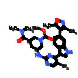 Cc1noc(C)c1-c1ccc2c(-c3nc(N[C@H]4C[C@@H](C(=O)N(C)C)CN(C(=O)OC(C)(C)C)C4)ncc3C(F)(F)F)c[nH]c2c1